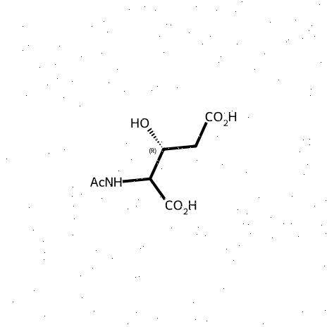 CC(=O)NC(C(=O)O)[C@H](O)CC(=O)O